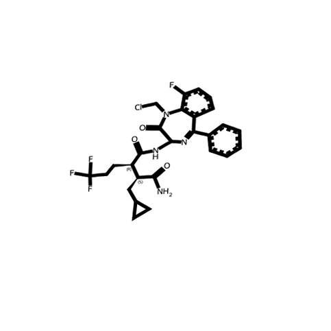 NC(=O)[C@@H](CC1CC1)[C@@H](CCC(F)(F)F)C(=O)NC1N=C(c2ccccc2)c2cccc(F)c2N(CCl)C1=O